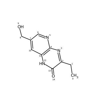 CCc1nc2ncc(CO)cc2[nH]c1=O